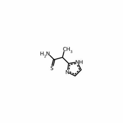 CC(C(N)=S)c1ncc[nH]1